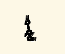 Fc1cc(C#CC2CCNCC2)cc(F)c1N1C=CCNC1